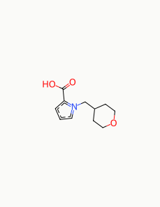 O=C(O)c1cccn1CC1CCOCC1